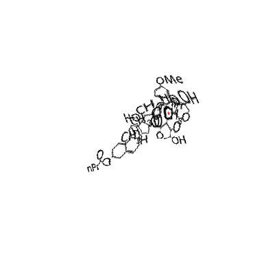 CCCC(=O)O[C@H]1CC[C@@]2(C)C(=CC[C@@H]3C2CC[C@@]2(C)[C@H]3C[C@H](OC3OCC(O)C(OC4OCC(O)C(O)C4OC(=O)c4ccc(OC)cc4)C3C)[C@]2(O)[C@H](C)C(=O)CCC(C)C)C1